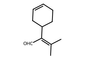 CC(C)=C(C=O)C1CC=CCC1